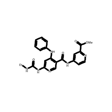 CCNC(=O)Nc1cc(Nc2ccccc2)c(C(=O)Nc2ccnc(C(=O)OC)c2)cn1